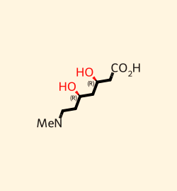 CNCC[C@@H](O)C[C@@H](O)CC(=O)O